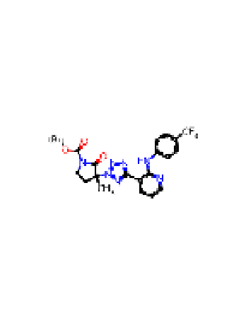 CC(C)(C)OC(=O)N1CCC(C)(n2nnc(-c3cccnc3Nc3ccc(C(F)(F)F)cc3)n2)C1=O